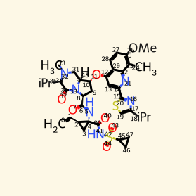 C=C[C@@H]1C[C@]1(NC(=O)[C@@H]1C[C@@H](Oc2cc(-c3nc(C(C)C)cs3)nc3c(C)c(OC)ccc23)[C@H]2CN(C)[C@H](C(C)C)C(=O)N21)C(=O)NS(=O)(=O)C1CC1